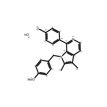 COc1ccc(Cn2c(C)c(C)c3ccnc(-c4ccc(Cl)cc4)c32)cc1.Cl